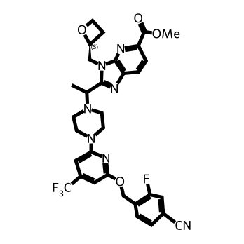 COC(=O)c1ccc2nc(C(C)N3CCN(c4cc(C(F)(F)F)cc(OCc5ccc(C#N)cc5F)n4)CC3)n(C[C@@H]3CCO3)c2n1